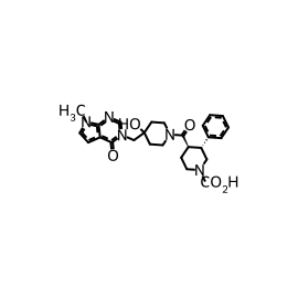 Cn1ccc2c(=O)n(CC3(O)CCN(C(=O)[C@@H]4CCN(C(=O)O)C[C@H]4c4ccccc4)CC3)cnc21